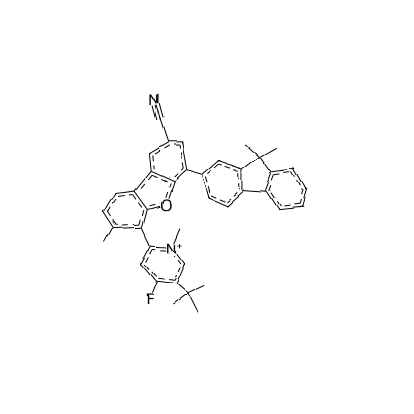 Cc1ccc2c(oc3c(-c4ccc5c(c4)C(C)(C)c4ccccc4-5)cc(C#N)cc32)c1-c1cc(F)c(C(C)(C)C)c[n+]1C